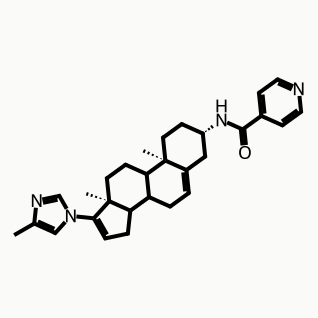 Cc1cn(C2=CCC3C4CC=C5C[C@@H](NC(=O)c6ccncc6)CC[C@]5(C)C4CC[C@]23C)cn1